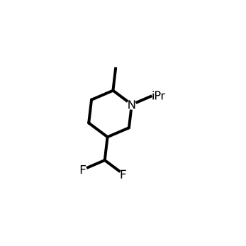 CC(C)N1CC(C(F)F)CCC1C